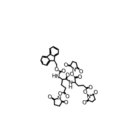 O=C(CCC(NC(=O)OCC1c2ccccc2-c2ccccc21)C(=O)NC(CCC(=O)ON1C(=O)CCC1=O)C(=O)ON1C(=O)CCC1=O)ON1C(=O)CCC1=O